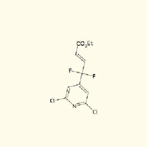 CCOC(=O)/C=C/C(F)(F)c1cc(Cl)nc(Cl)c1